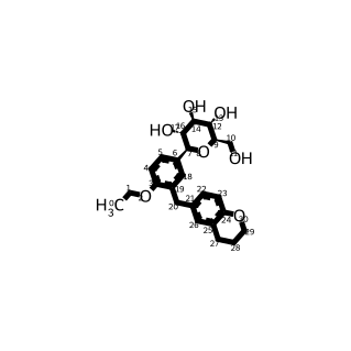 CCOc1ccc([C@@H]2O[C@H](CO)[C@@H](O)[C@H](O)[C@H]2O)cc1Cc1ccc2c(c1)CCCO2